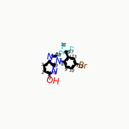 Oc1ccc2ncn(-c3ccc(Br)cc3C(F)(F)F)c2n1